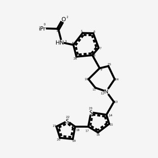 CC(C)C(=O)Nc1cccc(C2CCN(Cc3ccc(-c4cccs4)s3)CC2)c1